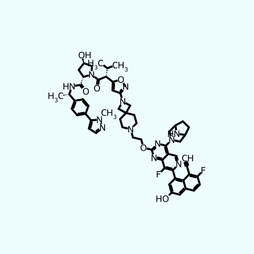 C#Cc1c(F)ccc2cc(O)cc(-c3ncc4c(N5CC6CCC(C5)N6)nc(OCCN5CCC6(CC5)CN(c5cc([C@H](C(=O)N7C[C@H](O)C[C@H]7C(=O)N[C@@H](C)c7ccc(-c8ccnn8C)cc7)C(C)C)on5)C6)nc4c3F)c12